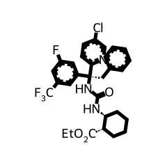 CCOC(=O)[C@H]1CCCC[C@H]1NC(=O)N[C@@](Cc1ccccc1)(c1cc(F)cc(C(F)(F)F)c1)c1ccc(Cl)cn1